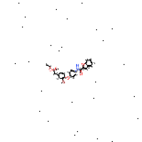 CCOC(=O)Cc1ccc(Oc2ccc(NC(=O)c3cc4ccccc4o3)cc2)c(Br)c1